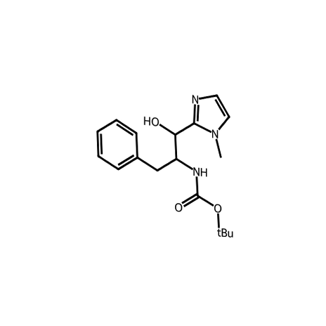 Cn1ccnc1C(O)C(Cc1ccccc1)NC(=O)OC(C)(C)C